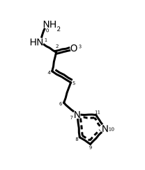 NNC(=O)C=CCn1ccnc1